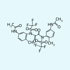 CC(=O)Nc1ccc(C)c(N(C(=O)C(=O)N(c2cc(NC(C)=O)ccc2C)S(=O)(=O)C(F)(F)F)S(=O)(=O)C(F)(F)F)c1